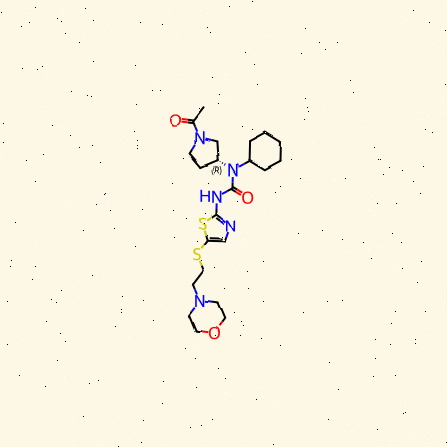 CC(=O)N1CC[C@@H](N(C(=O)Nc2ncc(SCCN3CCOCC3)s2)C2CCCCC2)C1